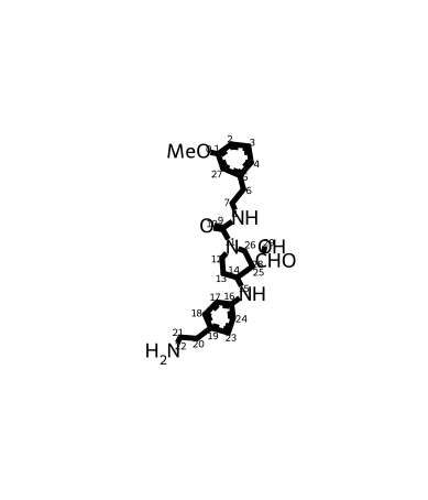 COc1cccc(CCNC(=O)N2CCC(Nc3ccc(CCN)cc3)CC2)c1.O=CO